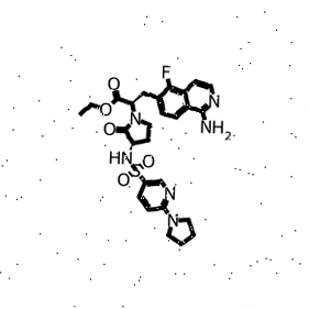 CCOC(=O)[C@@H](Cc1ccc2c(N)nccc2c1F)N1CC[C@H](NS(=O)(=O)c2ccc(N3CCCC3)nc2)C1=O